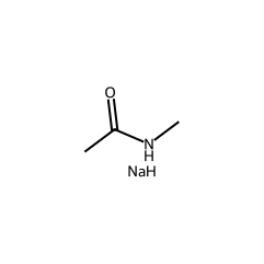 CNC(C)=O.[NaH]